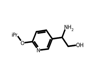 CC(C)Oc1ccc(C(N)CO)cn1